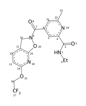 CCNC(=O)c1cc(C(=O)N2Cc3ccc(OCC(F)(F)F)nc3O2)cc(C)n1